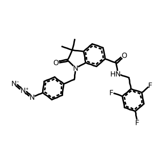 CC1(C)C(=O)N(Cc2ccc(N=[N+]=[N-])cc2)c2cc(C(=O)NCc3c(F)cc(F)cc3F)ccc21